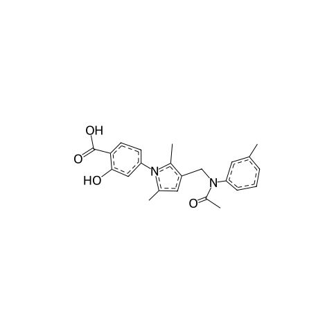 CC(=O)N(Cc1cc(C)n(-c2ccc(C(=O)O)c(O)c2)c1C)c1cccc(C)c1